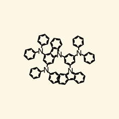 c1ccc(N(c2ccccc2)c2cc(-n3c4ccccc4c4ccccc43)cc(-n3c4ccccc4c4c(N(c5ccccc5)c5ccccc5)cc(N(c5ccccc5)c5ccccc5)cc43)c2)cc1